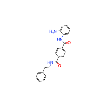 Nc1ccccc1NC(=O)c1ccc(C(=O)NCCc2ccccc2)cc1